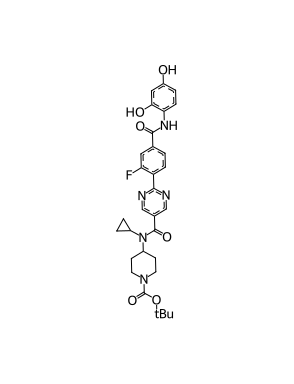 CC(C)(C)OC(=O)N1CCC(N(C(=O)c2cnc(-c3ccc(C(=O)Nc4ccc(O)cc4O)cc3F)nc2)C2CC2)CC1